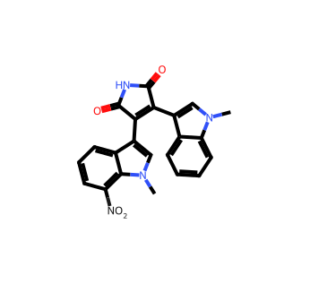 Cn1cc(C2=C(c3cn(C)c4c([N+](=O)[O-])cccc34)C(=O)NC2=O)c2ccccc21